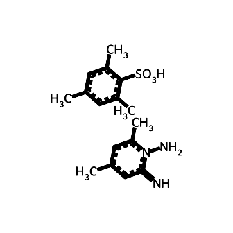 Cc1cc(C)c(S(=O)(=O)O)c(C)c1.Cc1cc(C)n(N)c(=N)c1